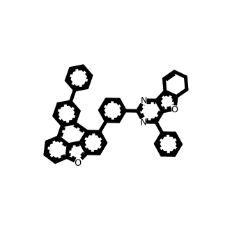 C1=Cc2c(oc3c(-c4ccccc4)nc(-c4cccc(-c5ccc6oc7cccc8c9ccc(-c%10ccccc%10)cc9c5c6c78)c4)nc23)CC1